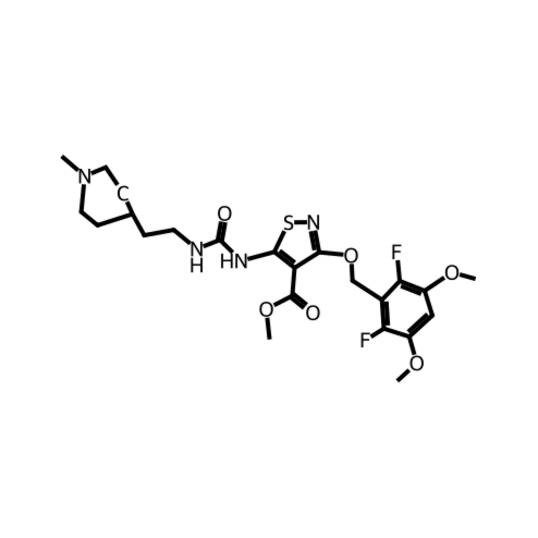 COC(=O)c1c(OCc2c(F)c(OC)cc(OC)c2F)nsc1NC(=O)NCCC1CCN(C)CC1